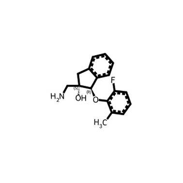 Cc1cccc(F)c1O[C@@H]1c2ccccc2C[C@]1(O)CN